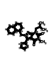 CC(C)Cn1c(=O)n(C)c(=O)c2c(-c3nccs3)n(Cc3cccc4ccccc34)nc21